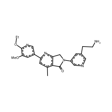 CCOc1ncc(-c2cc(C)c3c(n2)CN(c2cncc(CCN)c2)C3=O)cc1OC